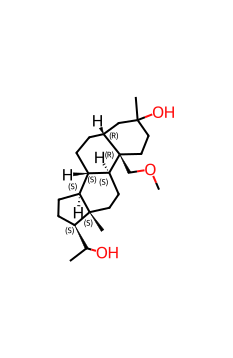 COC[C@]12CCC(C)(O)C[C@H]1CC[C@H]1[C@@H]3CC[C@H](C(C)O)[C@@]3(C)CC[C@@H]12